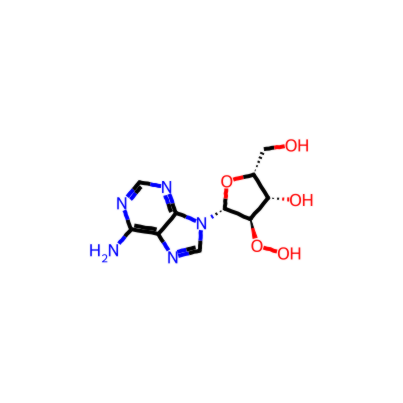 Nc1ncnc2c1ncn2[C@@H]1O[C@H](CO)[C@H](O)[C@H]1OO